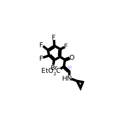 CCOC(=O)/C(=C\NC1CC1)C(=O)c1c(F)c(F)c(F)c(F)c1Br